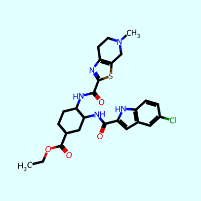 CCOC(=O)C1CCC(NC(=O)c2nc3c(s2)CN(C)CC3)C(NC(=O)c2cc3cc(Cl)ccc3[nH]2)C1